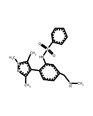 CNCc1ccc(-c2c(C)nn(C)c2C)c(NS(=O)(=O)c2ccccc2)c1